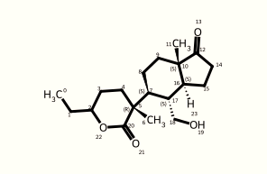 CCC1CC[C@](C)([C@H]2CC[C@]3(C)C(=O)CC[C@H]3[C@@H]2CO)C(=O)O1